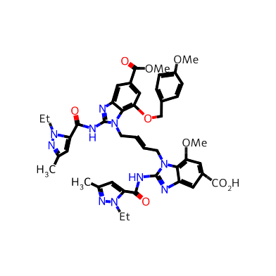 CCn1nc(C)cc1C(=O)Nc1nc2cc(C(=O)O)cc(OC)c2n1C/C=C/Cn1c(NC(=O)c2cc(C)nn2CC)nc2cc(C(=O)OC)cc(OCc3ccc(OC)cc3)c21